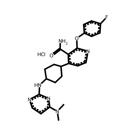 CN(C)c1ccnc(NC2CCC(c3ccnc(Oc4ccc(F)cc4)c3C(N)=O)CC2)n1.Cl